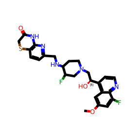 COc1cc(F)c2nccc([C@@H](O)CN3CCC(NCc4ccc5c(n4)NC(=O)CS5)C(F)C3)c2c1